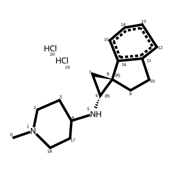 CN1CCC(N[C@@H]2C[C@@]23CCc2ccccc23)CC1.Cl.Cl